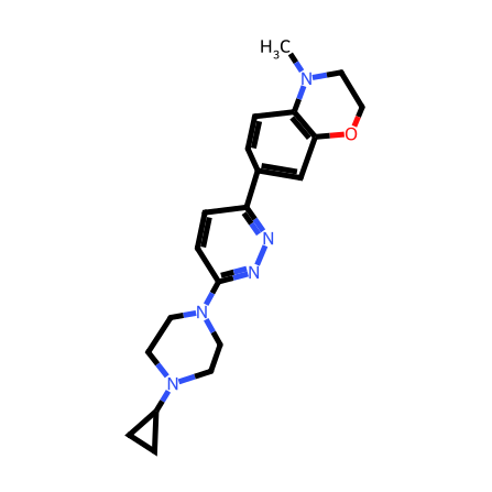 CN1CCOc2cc(-c3ccc(N4CCN(C5CC5)CC4)nn3)ccc21